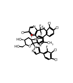 Cc1nc(C2(n3cc(-c4ccc(Cl)c(Cl)c4F)cn3)O[C@@H](CO)[C@@H](O)C[C@@]2(O)n2cc(-c3ccc(Cl)c(Cl)c3F)cn2)n(-c2cc(Cl)cnc2C(F)(F)F)n1